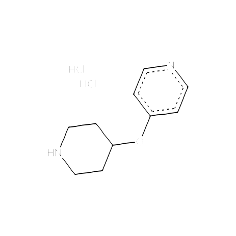 Cl.Cl.c1cc(OC2CCNCC2)ccn1